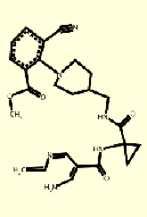 C=C/N=C\C(=C/N)C(=O)NC1(C(=O)NCC2CCN(c3c(C#N)cccc3C(=O)OC)CC2)CC1